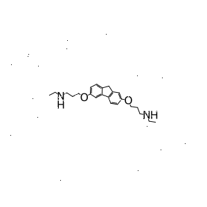 CCNCCCOc1ccc2c(c1)Cc1ccc(OCCCNCC)cc1-2